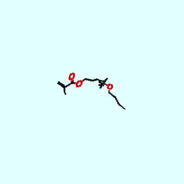 C=C(C)C(=O)OCCC[Si](C)(C)OCCCC